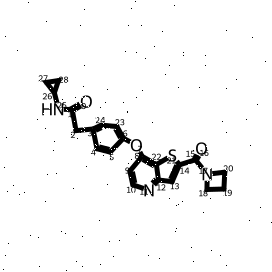 O=C(Cc1ccc(Oc2ccnc3cc(C(=O)N4CCC4)sc23)cc1)NC1CC1